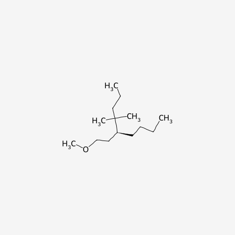 CCCC[C@@H](CCOC)C(C)(C)CCC